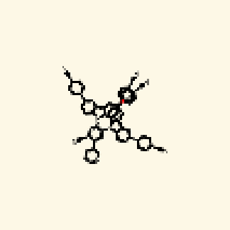 N#Cc1ccc(-c2ccc3c(c2)c2cc(-c4ccc(C#N)cc4)ccc2n3-c2cc(C#N)c(-c3cccnc3)cc2-n2c3ccc(-c4ccc(C#N)cc4)cc3c3cc(-c4ccc(C#N)cc4)ccc32)cc1